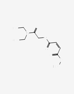 CCN(CC)C(=O)COC(=O)/C=C\C(=O)OC